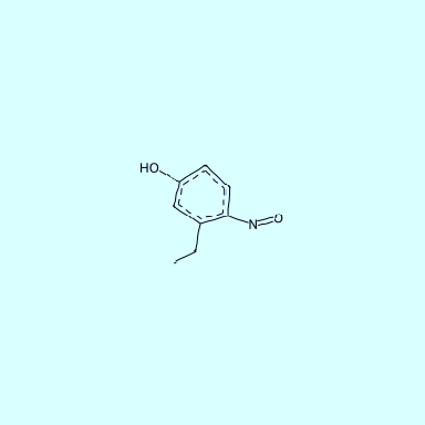 CCc1cc(O)ccc1N=O